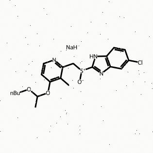 CCCCOC(C)Oc1ccnc(C[S+]([O-])c2nc3cc(Cl)ccc3[nH]2)c1C.[NaH]